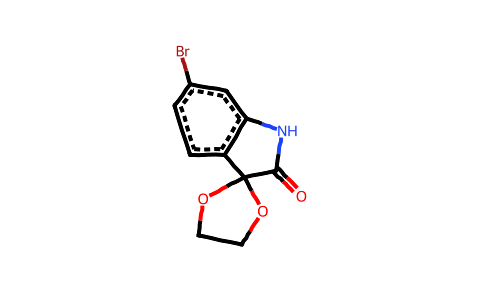 O=C1Nc2cc(Br)ccc2C12OCCO2